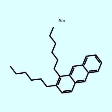 CCCCCCc1ccc2cc3ccccc3cc2c1CCCCCC.[Sm]